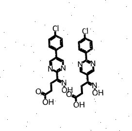 O=C(O)CCC(=NO)c1cnc(-c2ccc(Cl)cc2)nc1.O=C(O)CCC(=NO)c1ncc(-c2ccc(Cl)cc2)cn1